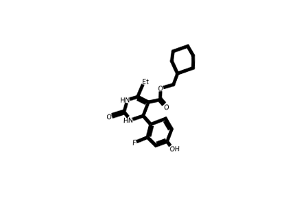 CCC1=C(C(=O)OCC2CCCCC2)C(c2ccc(O)cc2F)NC(=O)N1